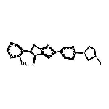 Cc1ncccc1N1Cc2nn(-c3ccc(N4CC[C@@H](F)C4)nc3)cc2C1=O